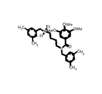 CC[N+](CC)(CCCCN(Cc1cc(C)cc(C)c1)C(=O)c1cc(OC)c(OC)c(OC)c1)Cc1cc(C)cc(C)c1